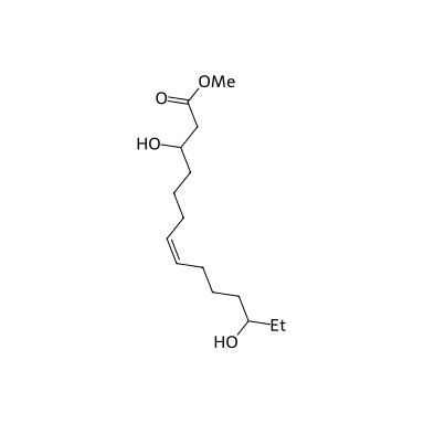 CCC(O)CCC/C=C\CCCC(O)CC(=O)OC